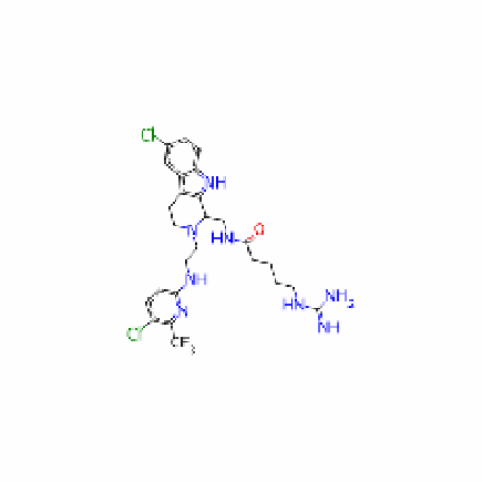 N=C(N)NCCCCC(=O)NCC1c2[nH]c3ccc(Cl)cc3c2CCN1CCNc1ccc(Cl)c(C(F)(F)F)n1